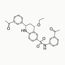 CCO[C@H]1CC(c2cccc(C(C)=O)c2)Nc2ccc(S(=O)(=O)Nc3cccc(C(C)=O)c3)cc21